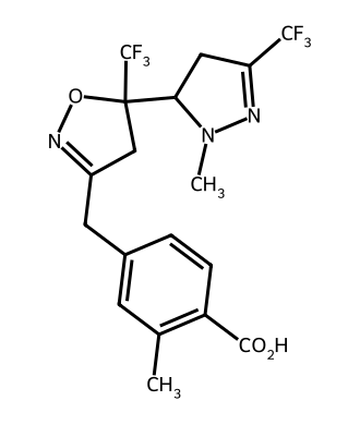 Cc1cc(CC2=NOC(C3CC(C(F)(F)F)=NN3C)(C(F)(F)F)C2)ccc1C(=O)O